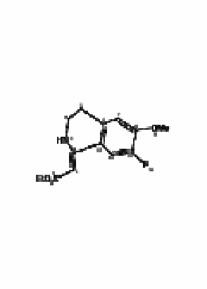 CCOC(=O)C=C1NCCc2cc(OC)c(F)cc21